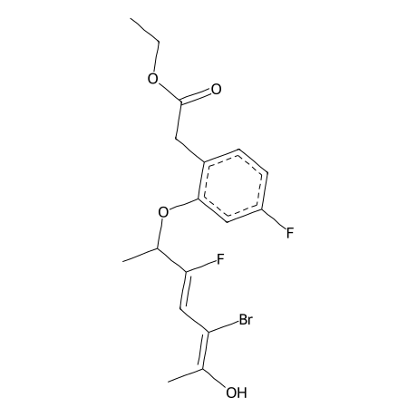 CCOC(=O)Cc1ccc(F)cc1OC(C)/C(F)=C/C(Br)=C(\C)O